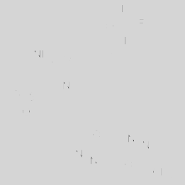 Cc1nnc(-c2nnc(-c3cc4c(cc3F)S(=O)(=O)C[C@H](N)C(=O)N4Cc3ccc(OC(F)(F)F)cc3)o2)o1